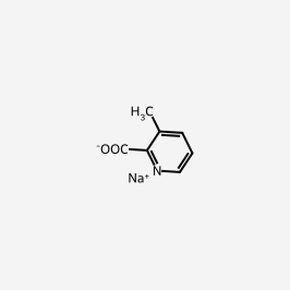 Cc1cccnc1C(=O)[O-].[Na+]